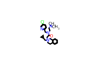 CN(C)CCN(Cc1ccc(Cl)cn1)C(=O)C[N+]1(CC2CC2)CCc2ccccc2C1